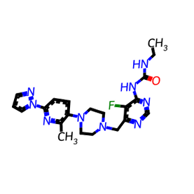 CCNC(=O)Nc1ncnc(CN2CCN(c3ccc(-n4cccn4)nc3C)CC2)c1F